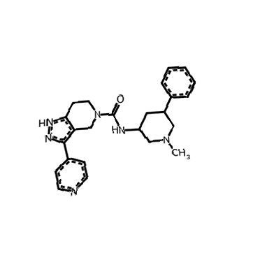 CN1CC(NC(=O)N2CCc3[nH]nc(-c4ccncc4)c3C2)CC(c2ccccc2)C1